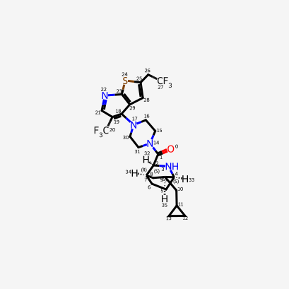 O=C([C@H]1N[C@H]2CC[C@@H]1C[C@@H]2CC1CC1)N1CCN(c2c(C(F)(F)F)cnc3sc(CC(F)(F)F)cc23)CC1